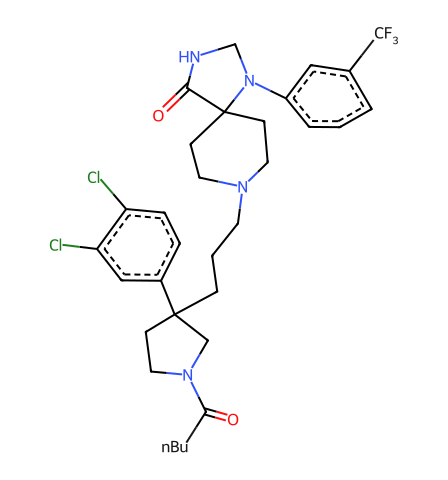 CCCCC(=O)N1CCC(CCCN2CCC3(CC2)C(=O)NCN3c2cccc(C(F)(F)F)c2)(c2ccc(Cl)c(Cl)c2)C1